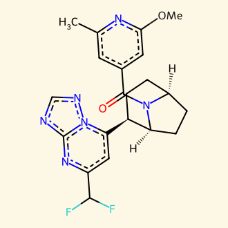 COc1cc(C(=O)N2[C@H]3CC[C@H](c4cc(C(F)F)nc5ncnn45)[C@@H]2CC3)cc(C)n1